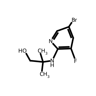 CC(C)(CO)Nc1ncc(Br)cc1F